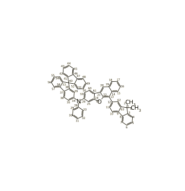 CC1(C)c2ccccc2-c2ccc(-c3c4ccccc4cc4c3oc3cc(N(c5ccccc5)c5ccc6c(c5)C5(c7ccccc7-c7ccccc75)c5ccccc5-6)ccc34)cc21